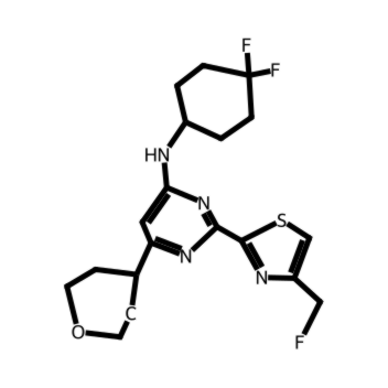 FCc1csc(-c2nc(NC3CCC(F)(F)CC3)cc(C3CCOCC3)n2)n1